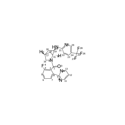 O=C(c1c(F)cccc1-c1ncccn1)N1C[C@@H]2C[C@@H](Nc3ccc(C(F)(F)F)cn3)[C@@H]1C2